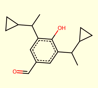 CC(c1cc(C=O)cc(C(C)C2CC2)c1O)C1CC1